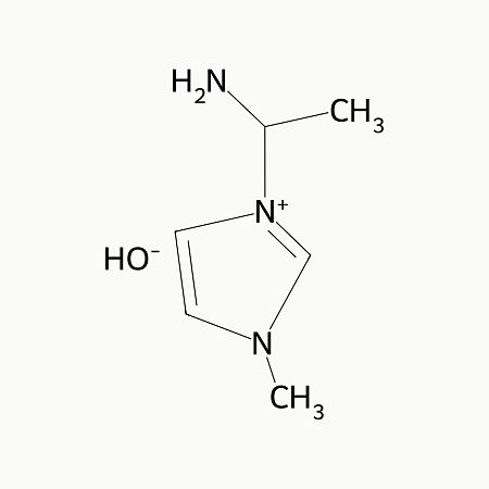 CC(N)[n+]1ccn(C)c1.[OH-]